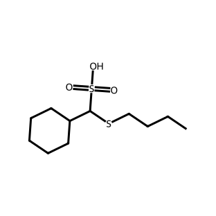 CCCCSC(C1CCCCC1)S(=O)(=O)O